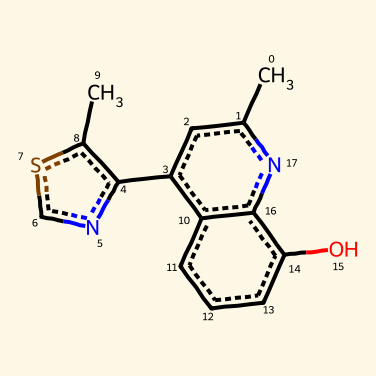 Cc1cc(-c2ncsc2C)c2cccc(O)c2n1